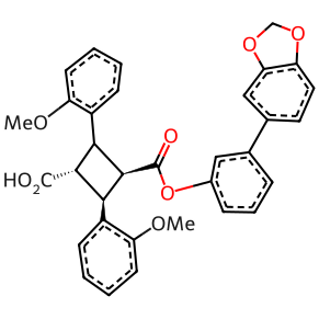 COc1ccccc1C1[C@@H](C(=O)O)[C@H](c2ccccc2OC)[C@@H]1C(=O)Oc1cccc(-c2ccc3c(c2)OCO3)c1